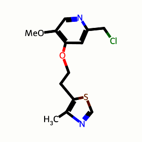 COc1cnc(CCl)cc1OCCc1scnc1C